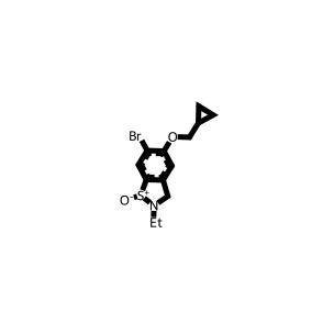 CCN1Cc2cc(OCC3CC3)c(Br)cc2[S+]1[O-]